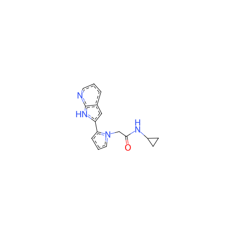 O=C(Cn1cccc1-c1cc2cccnc2[nH]1)NC1CC1